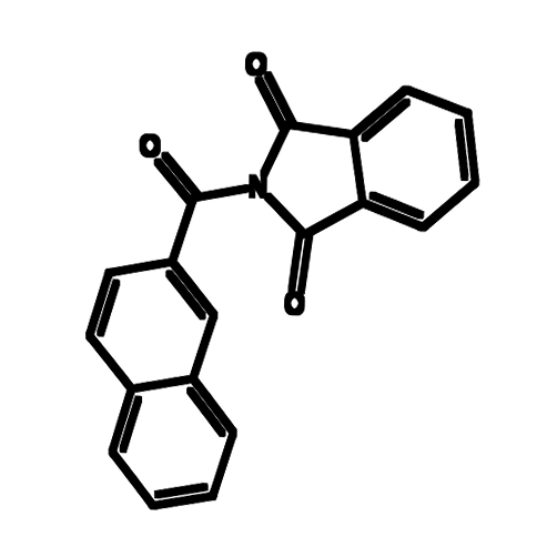 O=C(c1ccc2ccccc2c1)N1C(=O)c2ccccc2C1=O